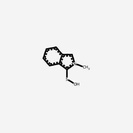 Cn1cc2ccccc2c1SO